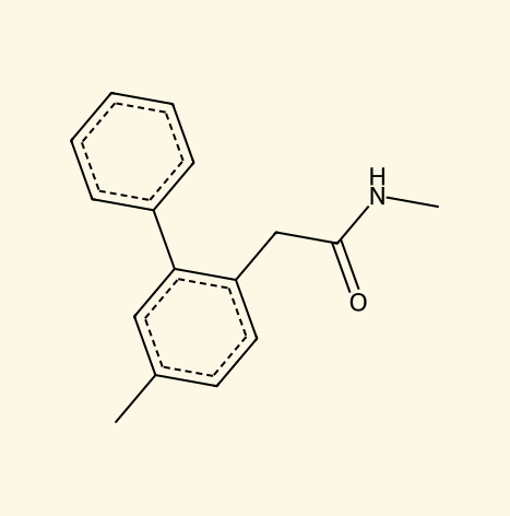 CNC(=O)Cc1ccc(C)cc1-c1ccccc1